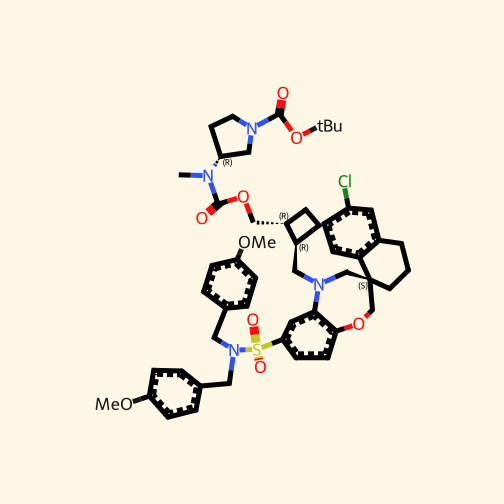 COc1ccc(CN(Cc2ccc(OC)cc2)S(=O)(=O)c2ccc3c(c2)N(C[C@@H]2CC[C@H]2COC(=O)N(C)[C@@H]2CCN(C(=O)OC(C)(C)C)C2)C[C@@]2(CCCc4cc(Cl)ccc42)CO3)cc1